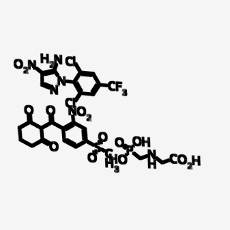 CS(=O)(=O)c1ccc(C(=O)C2C(=O)CCCC2=O)c([N+](=O)[O-])c1.Nc1c([N+](=O)[O-])cnn1-c1c(Cl)cc(C(F)(F)F)cc1Cl.O=C(O)CNCP(=O)(O)O